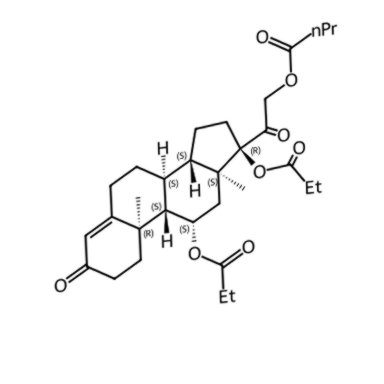 CCCC(=O)OCC(=O)[C@@]1(OC(=O)CC)CC[C@H]2[C@@H]3CCC4=CC(=O)CC[C@]4(C)[C@H]3[C@@H](OC(=O)CC)C[C@@]21C